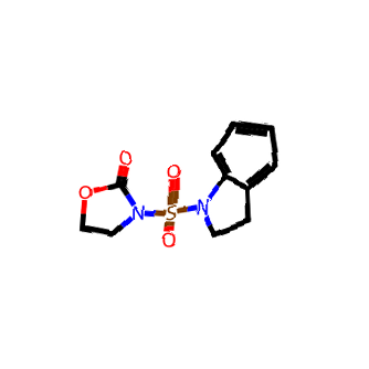 O=C1OCCN1S(=O)(=O)N1CCc2ccccc21